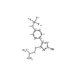 CC(C)CCc1nc(Br)sc1-c1ccc(OC(F)(F)F)cc1